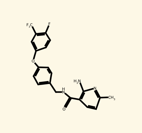 Cc1ccc(C(=O)NCc2ccc(Oc3ccc(F)c(C(F)(F)F)c3)cc2)c(N)n1